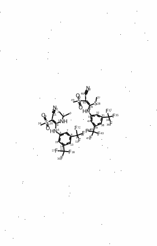 CC(C)N/C(Nc1cc(C(F)(F)F)cc(C(F)(F)F)c1)=C(\C#N)S(C)(=O)=O.CS/C(Nc1cc(C(F)(F)F)cc(C(F)(F)F)c1)=C(\C#N)S(C)(=O)=O